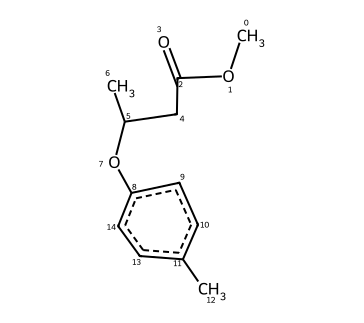 COC(=O)CC(C)Oc1ccc(C)cc1